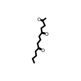 CCCCC(=O)CCCC(=O)CCC(C)=O